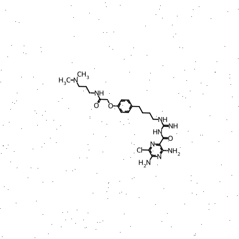 CN(C)CCCNC(=O)COc1ccc(CCCCNC(=N)NC(=O)c2nc(Cl)c(N)nc2N)cc1